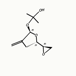 C=C1C[C@@H]([C@H]2CO2)O[C@@H]1OC(C)(C)O